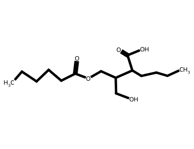 CCCCCC(=O)OCC(CO)C(CCCC)C(=O)O